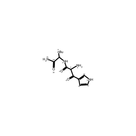 CCCCC(NC(=O)C(N)C(=O)c1cc[nH]c1)C(N)=O